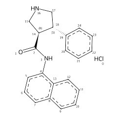 Cl.O=C(Nc1cccc2ccccc12)[C@H]1CNC[C@@H]1c1ccccc1